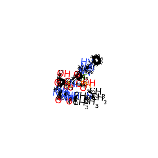 CC(C)C(=O)Nc1nc2c(ncn2[C@@H]2O[C@H](CO)C[C@H]2OS(=O)(=O)NC[C@H]2O[C@@H](n3cnc4c(Nc5ccccc5)ncnc43)[C@H](F)[C@@H]2O[PH](=O)O)c(=O)[nH]1.CCN(CC)CC